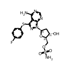 Nc1ncnc2c1c(Sc1ccc(F)cc1)nn2[C@H]1C[C@H](O)[C@@H](COS(N)(=O)=O)O1